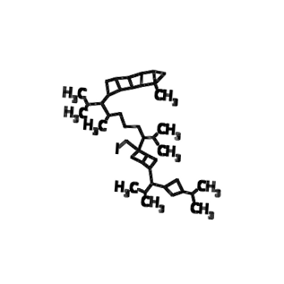 CC(C)C1CC(C(C(C)C)C2CC3C2CC3(CI)C(CCCC(C)C(C(C)C)C2CC3C2C2C3C3C4CC4(C)C23)C(C)C)C1